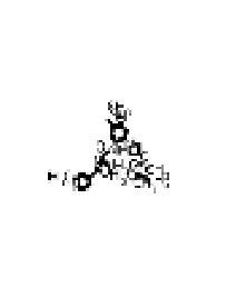 Cc1cc(-c2nc(C(=O)Nc3cc4cn(C)nc4cc3N3CC(O[Si](C)(C)C(C)(C)C)C3)co2)ccn1